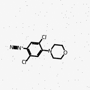 N#[N+]c1cc(Cl)c(N2CCOCC2)cc1Cl